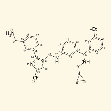 CCc1cccc(C(NCC2CC2)c2cccc(NCc3cc(C(F)(F)F)nn3-c3cccc(CN)c3)c2)c1